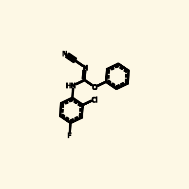 N#C/N=C(\Nc1ccc(F)cc1Cl)Oc1ccccc1